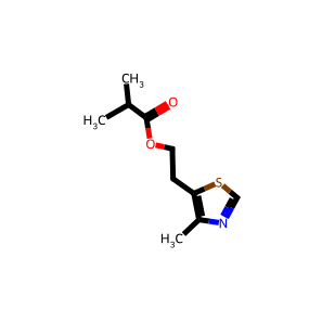 Cc1ncsc1CCOC(=O)C(C)C